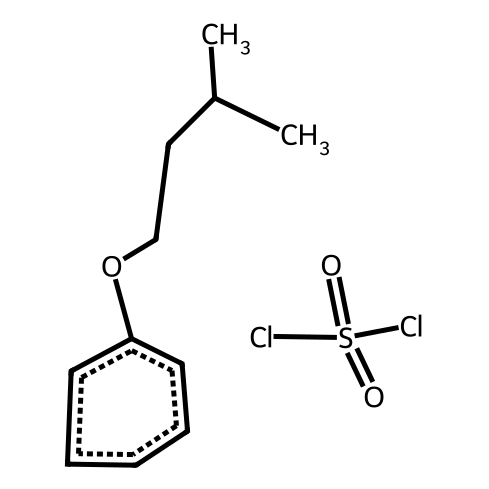 CC(C)CCOc1ccccc1.O=S(=O)(Cl)Cl